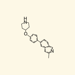 Cc1cc2cc(-c3ccc(OC4CCNCC4)cc3)ccc2cn1